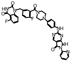 O=C(c1cc(Cn2c(=O)[nH]c(=O)c3c(F)cccc32)ccc1F)N1CCN(c2ccc(Nc3ncc4c(=O)n(-c5ccccn5)[nH]c4n3)cc2)CC1